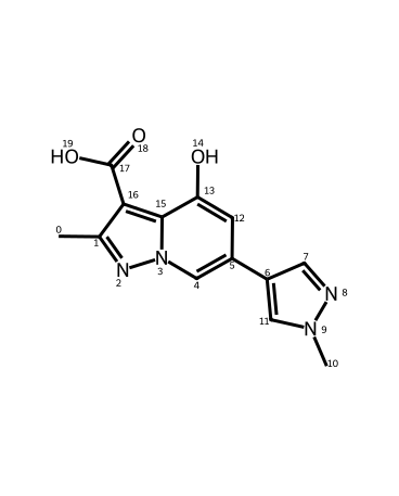 Cc1nn2cc(-c3cnn(C)c3)cc(O)c2c1C(=O)O